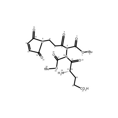 CC(C)(C)OC(=O)N(C(=O)CCN1C(=O)C=CC1=O)N(C(=O)OC(C)(C)C)C(=O)[C@@H](N)CCC(=O)O